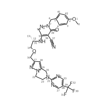 COc1ccc(Cn2ncc(N[C@@H](C)COCc3cc4n(n3)CCN(c3ncc(C(F)(F)F)cn3)C4)c(C#N)c2=O)cc1